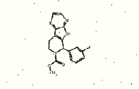 COC(=O)N1CCc2c([nH]c3nccnc23)C1c1cccc(F)c1